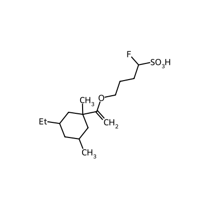 C=C(OCCCC(F)S(=O)(=O)O)C1(C)CC(C)CC(CC)C1